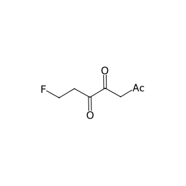 CC(=O)CC(=O)C(=O)CCF